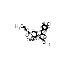 C=CCOC(=O)N1CCC(N2C[C@H](C)OCC2Cc2ccc(Cl)cc2)[C@@H](OC)C1